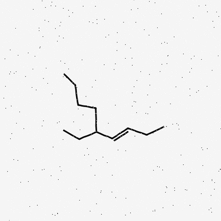 [CH2]CC=CC(CC)CCCC